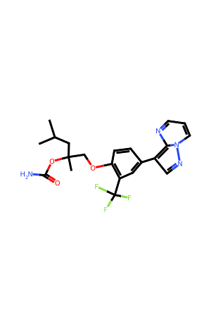 CC(C)CC(C)(COc1ccc(-c2cnn3cccnc23)cc1C(F)(F)F)OC(N)=O